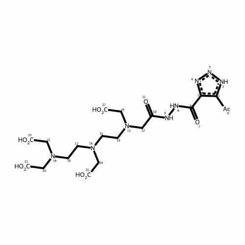 CC(=O)c1[nH]nnc1C(=O)NNC(=O)CN(CCN(CCN(CC(=O)O)CC(=O)O)CC(=O)O)CC(=O)O